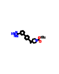 CC(C)(C)OC(=O)N1CCC2(CC1)CC2c1ccc(-c2cccc(-c3nn[nH]n3)c2)cc1